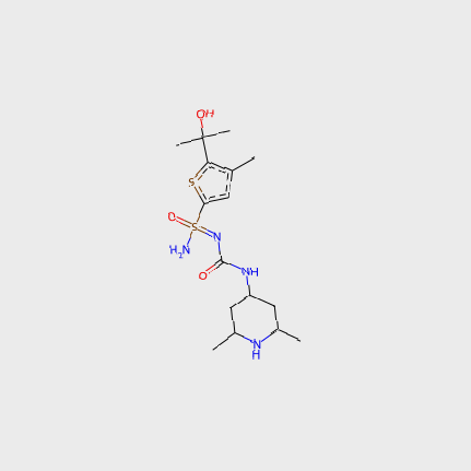 Cc1cc(S(N)(=O)=NC(=O)NC2CC(C)NC(C)C2)sc1C(C)(C)O